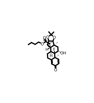 CCCCOC(=O)C(=O)[C@@]12OC(C)(C)O[C@@H]1C[C@H]1[C@@H]3CCC4=CC(=O)C=C[C@]4(C)[C@@]3(F)[C@@H](O)C[C@@]12C